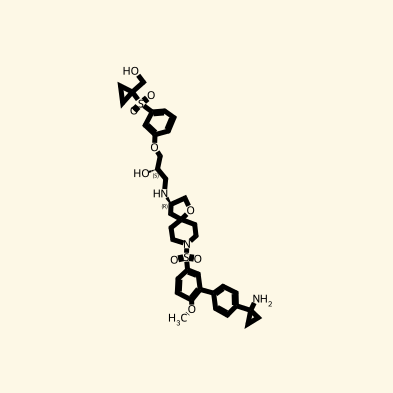 COc1ccc(S(=O)(=O)N2CCC3(CC2)C[C@@H](NC[C@H](O)COc2cccc(S(=O)(=O)C4(CO)CC4)c2)CO3)cc1-c1ccc(C2(N)CC2)cc1